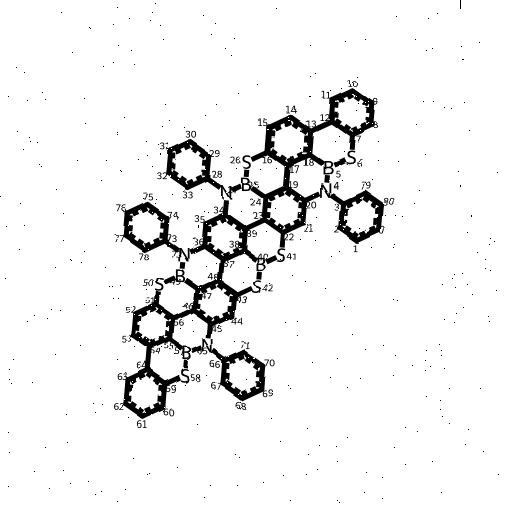 c1ccc(N2B3Sc4ccccc4-c4ccc5c(c43)-c3c2cc2c4c3B(S5)N(c3ccccc3)c3cc5c6c(c3-4)B(S2)Sc2cc3c4c(c2-6)B(Sc2ccc6c(c2-4)B(Sc2ccccc2-6)N3c2ccccc2)N5c2ccccc2)cc1